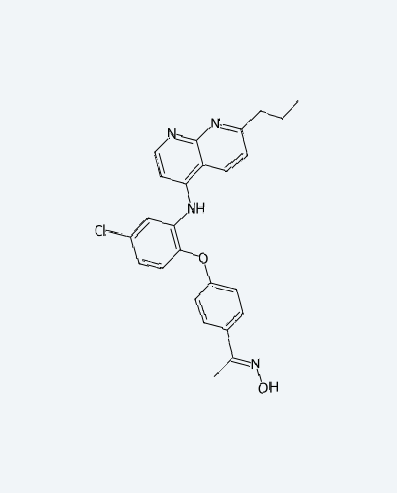 CCCc1ccc2c(Nc3cc(Cl)ccc3Oc3ccc(/C(C)=N/O)cc3)ccnc2n1